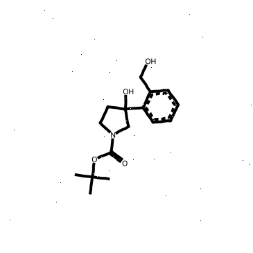 CC(C)(C)OC(=O)N1CCC(O)(c2ccccc2CO)C1